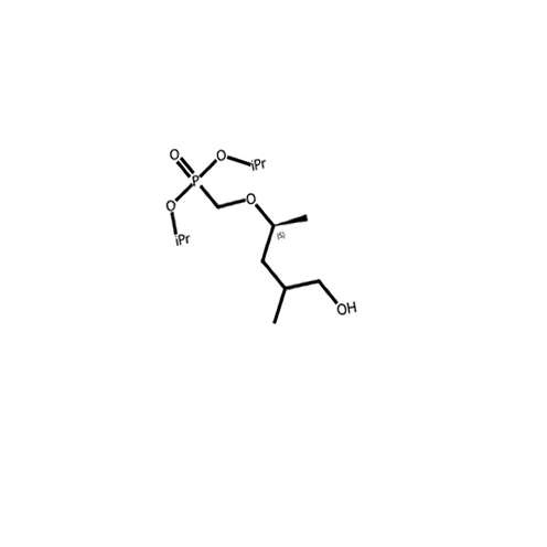 CC(CO)C[C@H](C)OCP(=O)(OC(C)C)OC(C)C